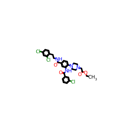 CCOC(=O)CN1CCN(c2ccc(C(=O)NCCc3ccc(Cl)cc3Cl)cc2NC(=O)c2cccc(Cl)c2)CC1